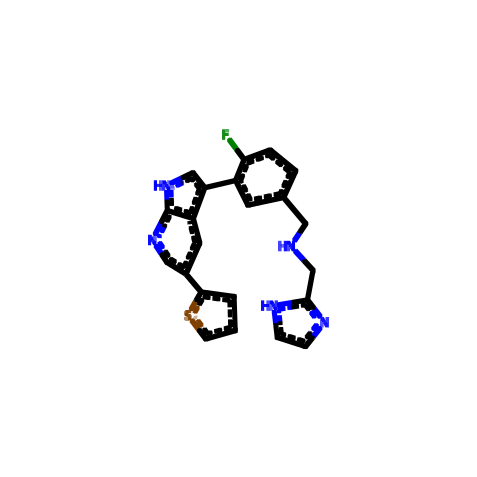 Fc1ccc(CNCc2ncc[nH]2)cc1-c1c[nH]c2ncc(-c3cccs3)cc12